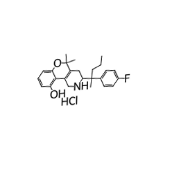 CCCC(C)(c1ccc(F)cc1)C1CC2=C(CN1)c1c(O)cccc1OC2(C)C.Cl